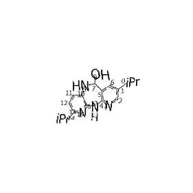 CC(C)c1cnc2c(c1)C(O)Nc1ccc(C(C)C)nc1N2